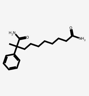 CC(CCCCCCCC(N)=O)(C(N)=O)c1ccccc1